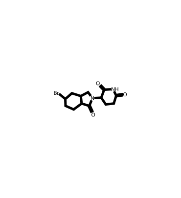 O=C1CCC(N2CC3CC(Br)CCC3C2=O)C(=O)N1